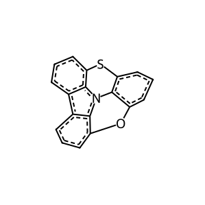 c1cc2c3c(c1)Sc1cccc4c5cccc(c5n-3c14)O2